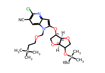 CC(C)(C)[Si](C)(C)OC1CO[C@H]2[C@@H]1OC[C@H]2Oc1cc2nc(Cl)c(C#N)cc2n1COCC[Si](C)(C)C